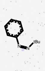 CC(C)(C)/N=N\c1ccccc1